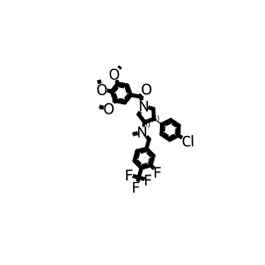 COc1cc(C(=O)N2C[C@H](c3ccc(Cl)cc3)[C@@H](N(C)Cc3ccc(C(F)(F)F)c(F)c3)C2)cc(OC)c1OC